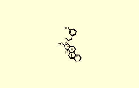 CC(Cc1cccc(O)c1)[C@H]1C(O)C[C@H]2[C@@H]3CC=C4CCCC[C@]4(C)[C@H]3CC[C@]12C